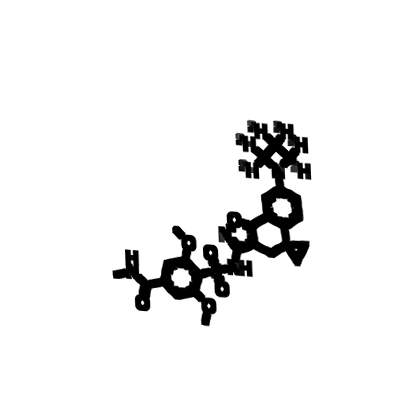 [2H]C1([2H])N(c2ccc3c(c2)-c2onc(NS(=O)(=O)c4c(OC)cc(C(=O)NC)cc4OC)c2CC32CC2)C([2H])([2H])C1([2H])[2H]